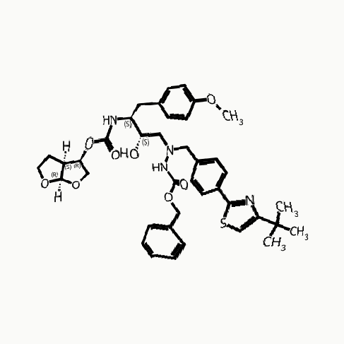 COc1ccc(C[C@H](NC(=O)O[C@H]2CO[C@H]3OCC[C@H]32)[C@@H](O)CN(Cc2ccc(-c3nc(C(C)(C)C)cs3)cc2)NC(=O)OCc2ccccc2)cc1